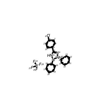 Clc1ccc(C2=N[NH+](c3ccccc3)N(c3ccccc3)N2)cc1.F[B-](F)(F)F